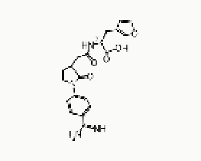 N=C(N)c1ccc(N2CCC(CC(=O)N[C@@H](Cc3ccoc3)C(=O)O)C2=O)cc1